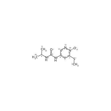 CSc1cc(NC(=O)NC(C)C)cn[n+]1[O-]